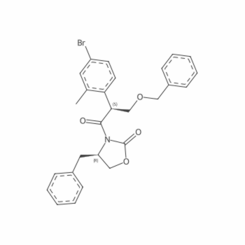 Cc1cc(Br)ccc1[C@@H](COCc1ccccc1)C(=O)N1C(=O)OC[C@H]1Cc1ccccc1